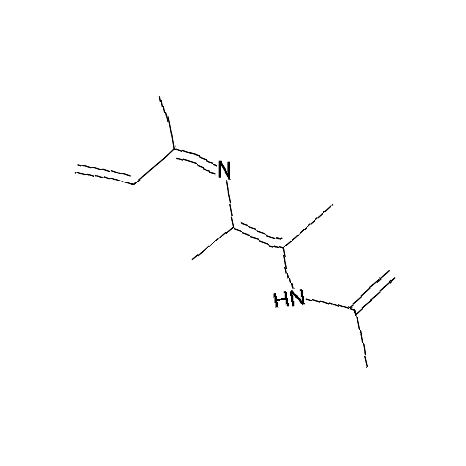 C=C/C(C)=N\C(C)=C(/C)NC(=C)C